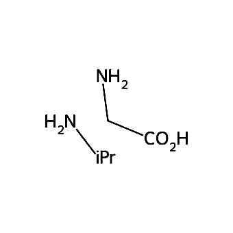 CC(C)N.NCC(=O)O